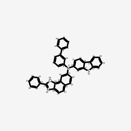 c1ccc(-c2cccc(N(c3ccc4c(c3)sc3ccccc34)c3ccc4ccc5nc(-c6ccccc6)oc5c4c3)c2)cc1